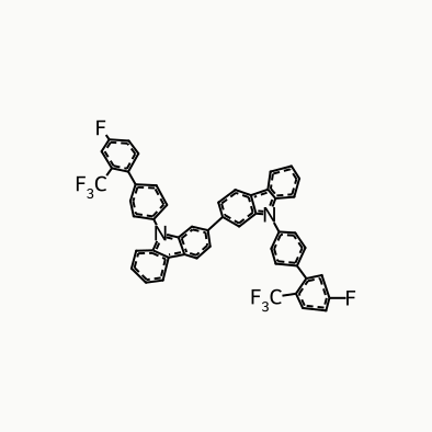 Fc1ccc(C(F)(F)F)c(-c2ccc(-n3c4ccccc4c4ccc(-c5ccc6c7ccccc7n(-c7ccc(-c8ccc(F)cc8C(F)(F)F)cc7)c6c5)cc43)cc2)c1